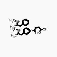 CNC(C)Cc1ccccc1.CNC(C)Cc1ccccc1.O=C(O)/C=C\C(=O)O